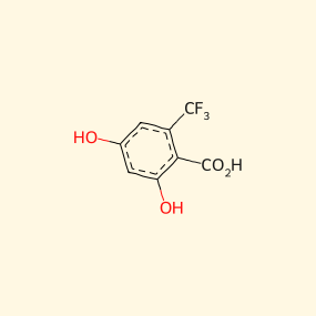 O=C(O)c1c(O)cc(O)cc1C(F)(F)F